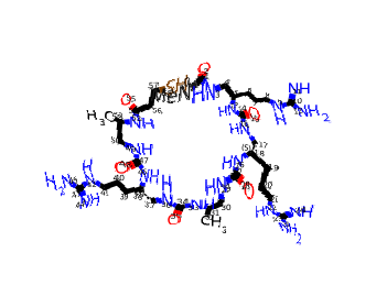 CNC(=O)NCC(CCCNC(=N)N)NC(=O)NC[C@H](CCCNC(=N)N)NC(=O)NCC(C)NC(=O)NC[C@H](CCCNC(=N)N)NC(=O)NCC(C)NC(=O)CCS